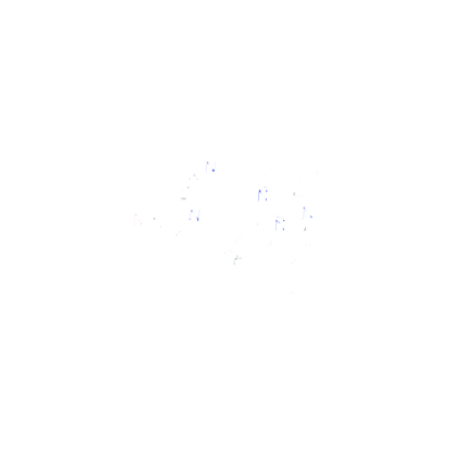 CCCCc1nc2c(C)ccnc2n1Cc1ccc(-n2cc(Br)cc2C#N)cc1Cl